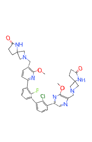 COc1nc(-c2cccc(-c3cccc(-c4cnc(CN5CC6(CCC(=O)N6)C5)c(OC)n4)c3Cl)c2F)ccc1CN1CC2(CCC(=O)N2)C1